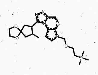 CC1CC2(CC1c1nnc3cnc4c(ccn4COCC[Si](C)(C)C)n13)OCCO2